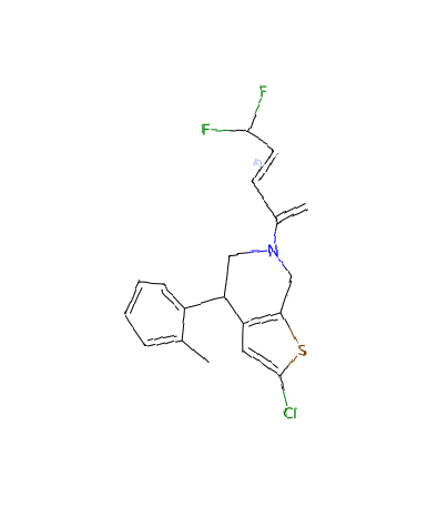 C=C(/C=C/C(F)F)N1Cc2sc(Cl)cc2C(c2ccccc2C)C1